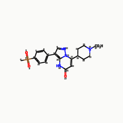 CS(=O)(=O)c1ccc(-c2cnn3c(C4CCN(C(=O)O)CC4)cc(=O)[nH]c23)cc1